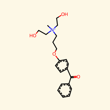 C[N+](CCO)(CCO)CCCOc1ccc(C(=O)c2ccccc2)cc1